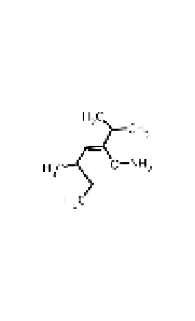 CCC(C)/C=C(\ON)C(C)C